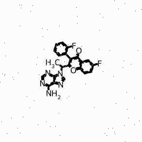 CC(c1oc2ccc(F)cc2c(=O)c1-c1ccccc1F)n1cnc2c(N)ncnc21